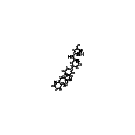 Cc1cc(Nc2cc(-c3ccn4c(Cc5ncccc5Cl)nnc4c3)ccn2)[nH]n1